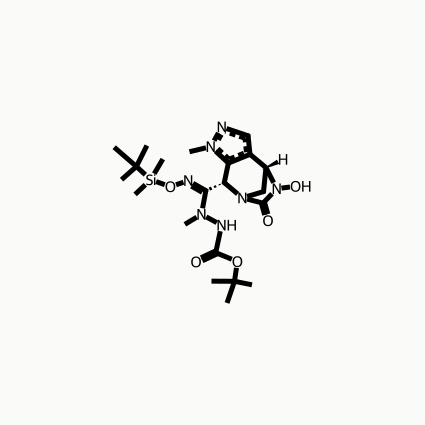 CN(NC(=O)OC(C)(C)C)/C(=N\O[Si](C)(C)C(C)(C)C)[C@@H]1c2c(cnn2C)[C@H]2CN1C(=O)N2O